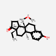 CC[C@]12CC[C@@H]3c4ccc(O)cc4CC[C@H]3[C@@H]1CCC2=O.COC